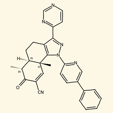 C[C@H]1C(=O)C(C#N)=C[C@@]2(C)c3c(c(-c4ccncn4)nn3-c3ccc(-c4ccccc4)cn3)CC[C@H]12